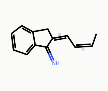 C/C=C\C=C1\Cc2ccccc2C1=N